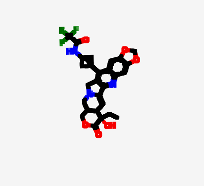 CC[C@@]1(O)C(=O)OCC2=C1C=C1c3nc4cc5c(cc4c(C46CC(NC(=O)C(F)(F)F)(C4)C6)c3CN1C2)OCO5